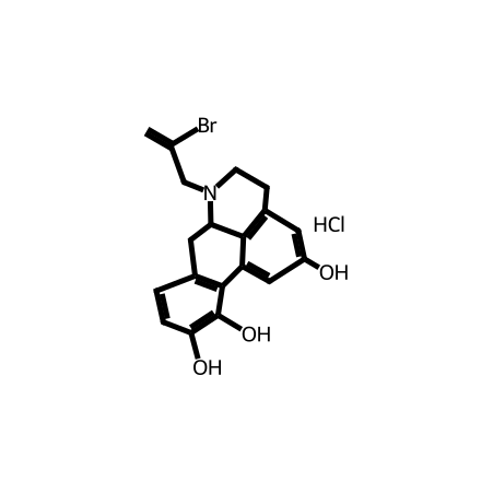 C=C(Br)CN1CCc2cc(O)cc3c2C1Cc1ccc(O)c(O)c1-3.Cl